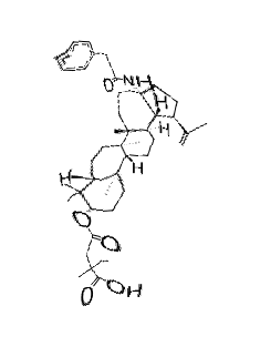 C=C(C)[C@@H]1CC[C@]2(NC(=O)Cc3ccccc3)CC[C@]3(C)[C@H](CC[C@@H]4[C@@]5(C)CC[C@H](OC(=O)CC(C)(C)C(=O)O)C(C)(C)[C@@H]5CC[C@]43C)[C@@H]12